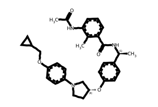 CC(=O)Nc1cccc(C(=O)N[C@@H](C)c2ccc(O[C@@H]3CCN(c4ccc(OCC5CC5)cc4)C3)cc2)c1C